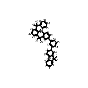 CC1(C)c2ccccc2-c2ccc(-c3cccc(-c4ccc5c(c4)C(C)(C)c4cccc6c4N5c4ccccc4C6(C)C)c3)cc21